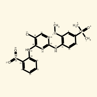 COc1cc(P(C)(C)=O)ccc1Nc1ncc(Cl)c(Nc2ccccc2[SH](=O)=O)n1